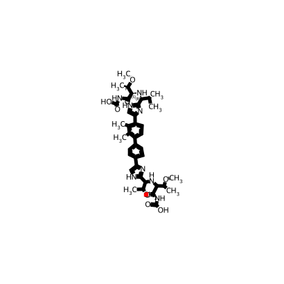 COC(C)C(NC(c1nc(-c2ccc(-c3ccc(-c4c[nH]c([C@H](N[C@H](C(=O)NC(=O)O)[C@@H](C)OC)C(C)C)n4)c(C)c3C)cc2)c[nH]1)C(C)C)C(=O)NC(=O)O